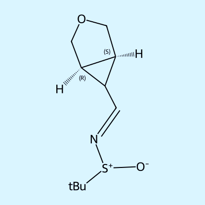 CC(C)(C)[S+]([O-])N=CC1[C@H]2COC[C@@H]12